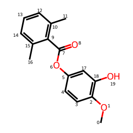 COc1ccc(OC(=O)c2c(C)cccc2C)cc1O